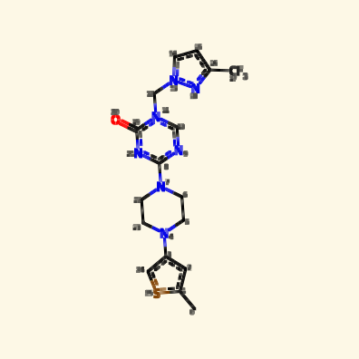 Cc1cc(N2CCN(c3ncn(Cn4ccc(C(F)(F)F)n4)c(=O)n3)CC2)cs1